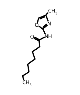 CCCCCCCC(=O)Nc1nc(C)co1